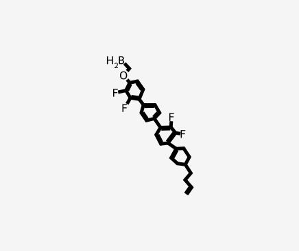 BCOc1ccc(-c2ccc(-c3ccc(C4=CCC(CCC=C)CC4)c(F)c3F)cc2)c(F)c1F